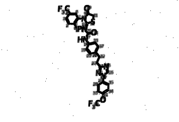 CC(C)c1ccc(C(F)(F)F)cc1N1C(=O)CSC1=NC(=O)Nc1ccc(CCc2ncn(-c3ccc(OC(F)(F)F)cc3)n2)cc1